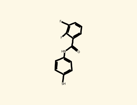 O=C(Nc1ccc(S)cc1)c1cccc(F)c1F